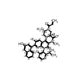 C=CC(=O)N1C[C@@H]2C(=O)N(C)c3c(c4cc(F)c(-c5cc(O)cc6ccccc56)nc4n(-c4c(C)ccnc4C(C)C)c3=O)N2C[C@H]1C